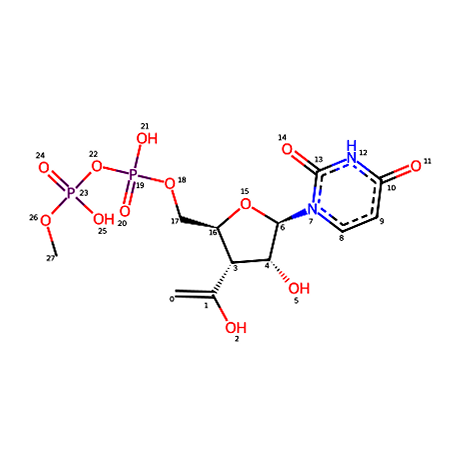 C=C(O)[C@H]1[C@@H](O)[C@H](n2ccc(=O)[nH]c2=O)O[C@@H]1COP(=O)(O)OP(=O)(O)OC